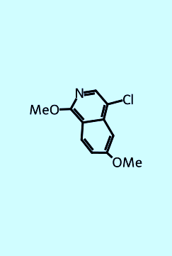 COc1ccc2c(OC)ncc(Cl)c2c1